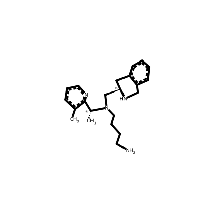 Cc1cccnc1[C@@H](C)N(CCCCN)C[C@H]1Cc2ccccc2CN1